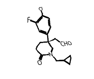 O=CC[C@]1(c2ccc(Cl)c(F)c2)CCC(=O)N(CC2CC2)C1